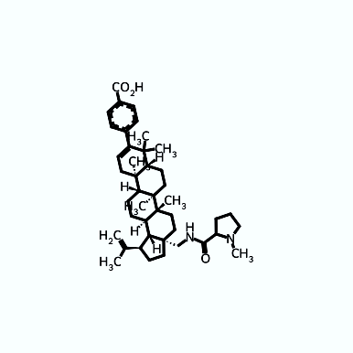 C=C(C)[C@@H]1CC[C@]2(CNC(=O)C3CCCN3C)CC[C@]3(C)[C@H](CC[C@@H]4[C@@]5(C)CC=C(c6ccc(C(=O)O)cc6)C(C)(C)[C@@H]5CC[C@]43C)[C@@H]12